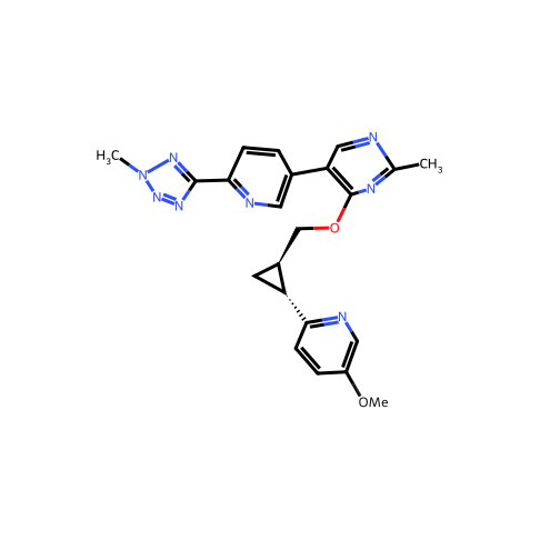 COc1ccc([C@@H]2C[C@H]2COc2nc(C)ncc2-c2ccc(-c3nnn(C)n3)nc2)nc1